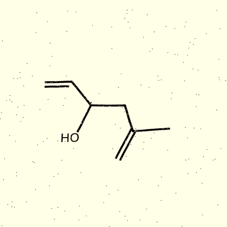 C=C[C](O)CC(=C)C